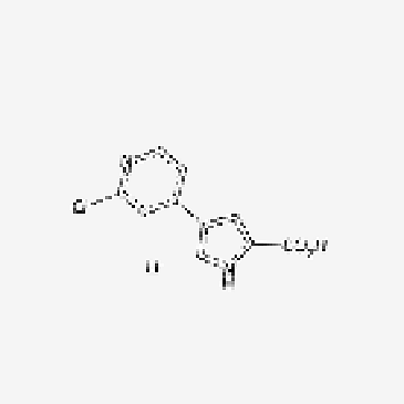 O=C(O)c1cc(-c2ccnc(Cl)c2)c[nH]1.[Li]